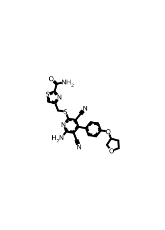 N#Cc1c(N)nc(SCc2csc(C(N)=O)n2)c(C#N)c1-c1ccc(OC2CCOC2)cc1